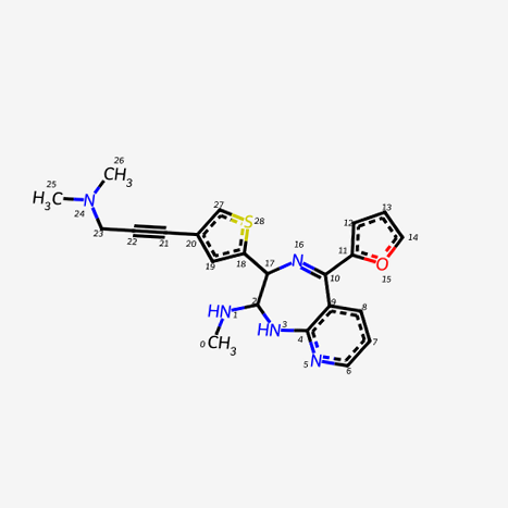 CNC1Nc2ncccc2C(c2ccco2)=NC1c1cc(C#CCN(C)C)cs1